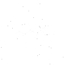 [2H]NP(=O)(O)OC[C@H](O)CO